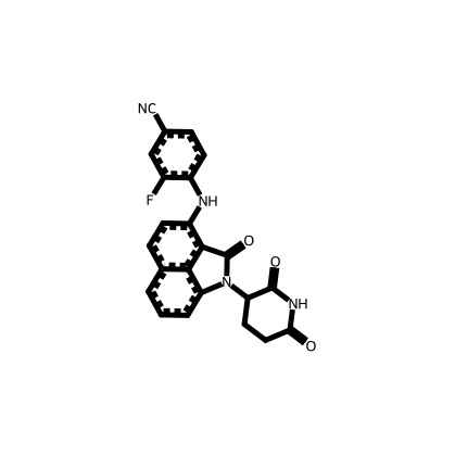 N#Cc1ccc(Nc2ccc3cccc4c3c2C(=O)N4C2CCC(=O)NC2=O)c(F)c1